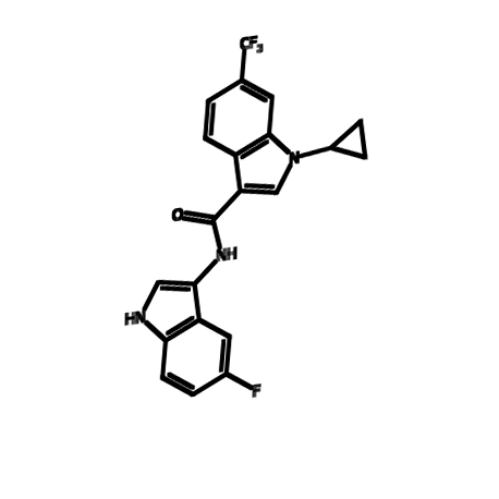 O=C(Nc1c[nH]c2ccc(F)cc12)c1cn(C2CC2)c2cc(C(F)(F)F)ccc12